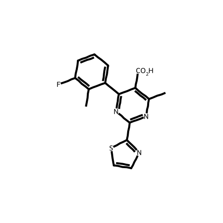 Cc1nc(-c2nccs2)nc(-c2cccc(F)c2C)c1C(=O)O